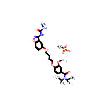 CNC(=O)Nc1noc2ccc(OCCCCOc3ccc(C(=O)N(C(C)C)C(C)C)cc3OC)cc12.CS(=O)(=O)O